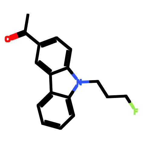 CC(=O)c1ccc2c(c1)c1ccccc1n2CCCF